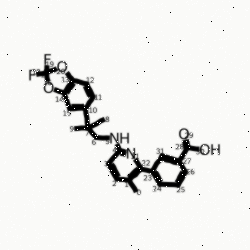 Cc1ccc(NCC(C)(C)c2ccc3c(c2)OC(F)(F)O3)nc1-c1cccc(C(=O)O)c1